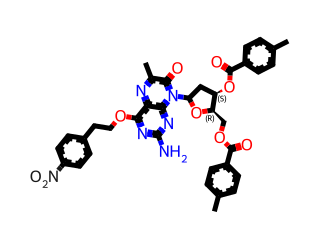 Cc1ccc(C(=O)OC[C@H]2OC(n3c(=O)c(C)nc4c(OCCc5ccc([N+](=O)[O-])cc5)nc(N)nc43)C[C@@H]2OC(=O)c2ccc(C)cc2)cc1